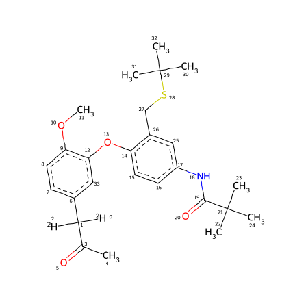 [2H]C([2H])(C(C)=O)c1ccc(OC)c(Oc2ccc(NC(=O)C(C)(C)C)cc2CSC(C)(C)C)c1